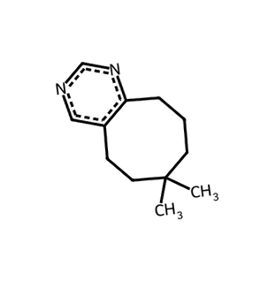 CC1(C)CCCc2ncncc2CC1